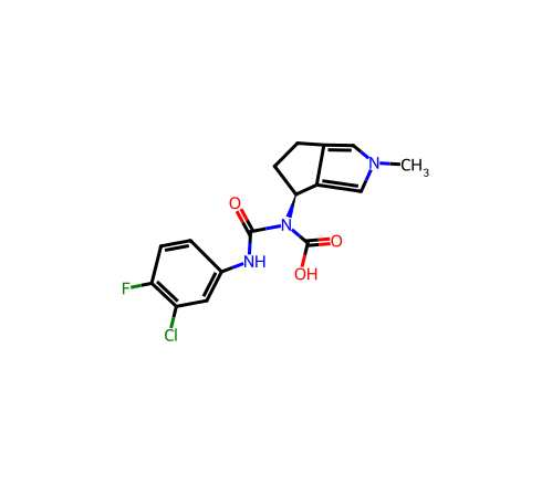 Cn1cc2c(c1)[C@@H](N(C(=O)O)C(=O)Nc1ccc(F)c(Cl)c1)CC2